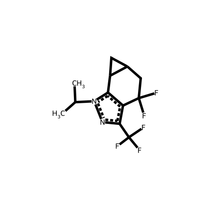 CC(C)n1nc(C(F)(F)F)c2c1C1CC1CC2(F)F